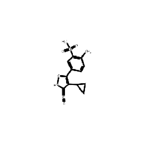 Cc1ccc(C2=C(C3CC3)C(=C=O)NO2)cc1S(C)(=O)=O